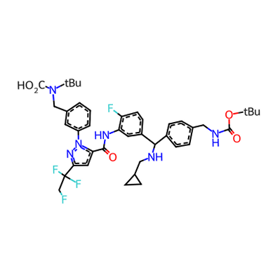 CC(C)(C)OC(=O)NCc1ccc(C(NCC2CC2)c2ccc(F)c(NC(=O)c3cc(C(F)(F)CF)nn3-c3cccc(CN(C(=O)O)C(C)(C)C)c3)c2)cc1